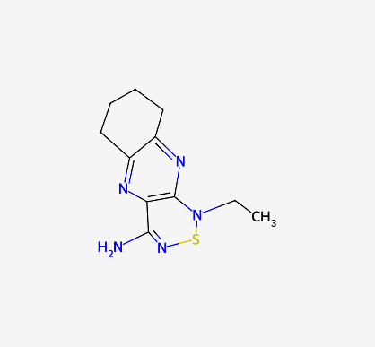 CCN1SN=C(N)c2nc3c(nc21)CCCC3